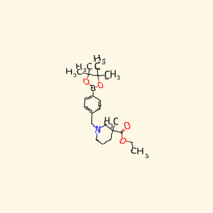 CCOC(=O)C1(C)CCCN(Cc2ccc(B3OC(C)(C)C(C)(C)O3)cc2)C1